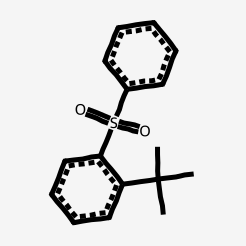 CC(C)(C)c1ccccc1S(=O)(=O)c1ccccc1